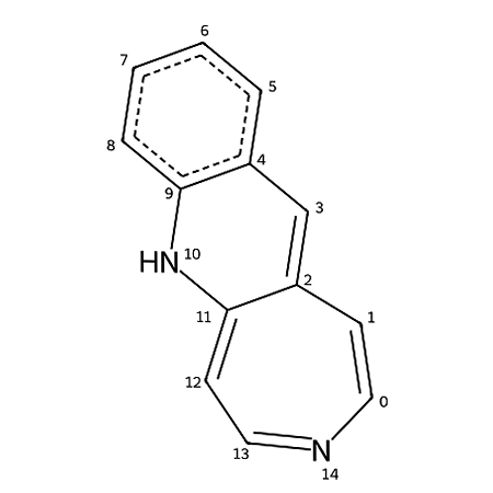 C1=CC2=Cc3ccccc3NC2=CC=N1